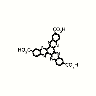 O=C(O)c1ccc2nc3c4nc5ccc(C(=O)O)cc5nc4c4nc5cc(C(=O)O)ccc5nc4c3nc2c1